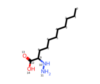 CCCCCCCCCC(NN)C(=O)O